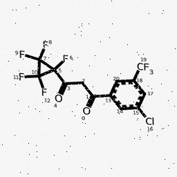 O=C(CC(=O)C1(F)C(F)(F)C1(F)F)c1cc(Cl)cc(C(F)(F)F)c1